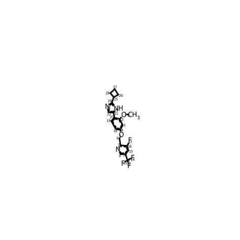 COc1cc(OCc2ncc(C(F)(F)F)cc2F)ccc1-c1cnc(C2CCC2)[nH]1